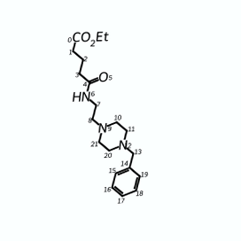 CCOC(=O)CCCC(=O)NCCN1CCN(Cc2ccccc2)CC1